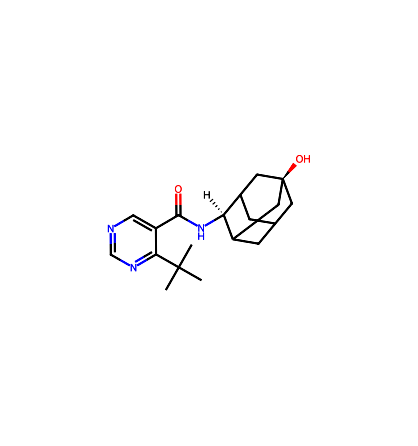 CC(C)(C)c1ncncc1C(=O)N[C@H]1C2CC3CC1C[C@@](O)(C3)C2